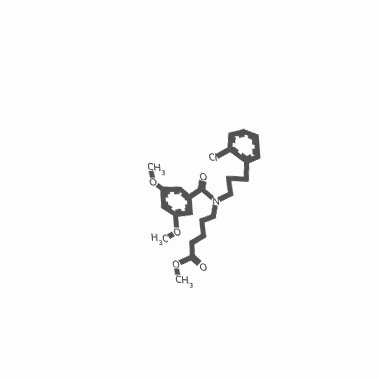 COC(=O)CCCCN(CCCc1ccccc1Cl)C(=O)c1cc(OC)cc(OC)c1